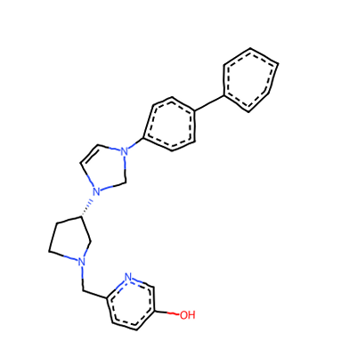 Oc1ccc(CN2CC[C@H](N3C=CN(c4ccc(-c5ccccc5)cc4)C3)C2)nc1